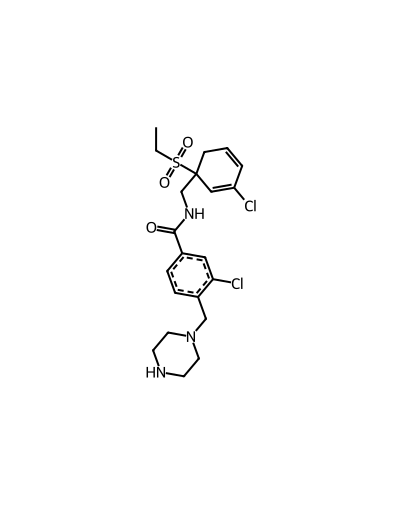 CCS(=O)(=O)C1(CNC(=O)c2ccc(CN3CCNCC3)c(Cl)c2)C=C(Cl)C=CC1